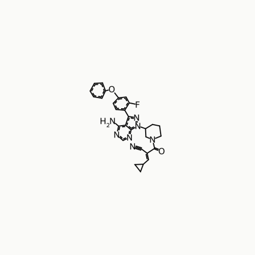 N#CC(=CC1CC1)C(=O)N1CCCC(n2nc(-c3ccc(Oc4ccccc4)cc3F)c3c(N)ncnc32)C1